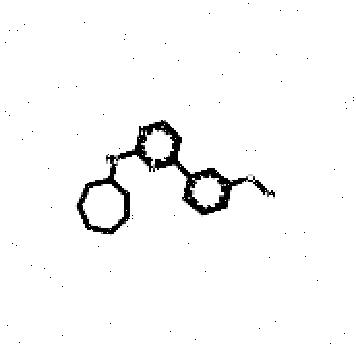 CC(C)Oc1cccc(-c2ccnc(NC3CCCCCC3)n2)c1